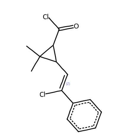 CC1(C)C(/C=C(\Cl)c2ccccc2)C1C(=O)Cl